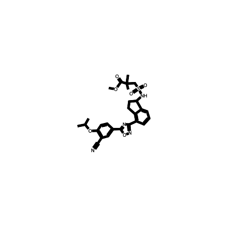 COC(=O)C(C)(C)CS(=O)(=O)NC1CCc2c(-c3noc(-c4ccc(OC(C)C)c(C#N)c4)n3)cccc21